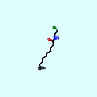 CCCCCCCCCCCCCCCCCC(=O)NCCBr